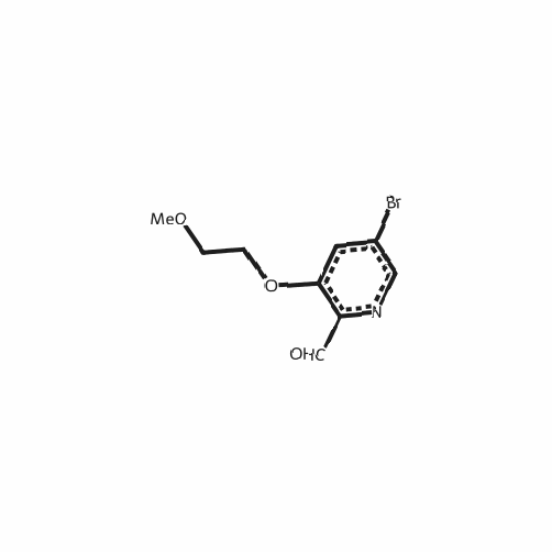 COCCOc1cc(Br)cnc1C=O